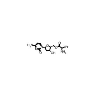 CC(C)C(N)C(=O)OC[C@@H]1O[C@H](n2ccc(N)nc2=O)C[C@@H]1O